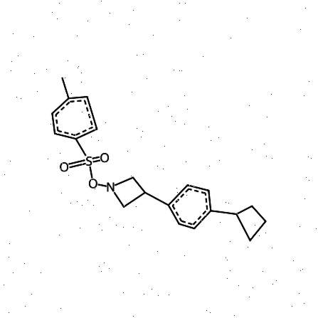 Cc1ccc(S(=O)(=O)ON2CC(c3ccc(C4CCC4)cc3)C2)cc1